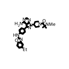 CCc1ccc2oc(Nc3ccc(-c4nn(C5CCN(C(=O)C(C)(C)NC)CC5)c5ncnc(N)c45)cc3)nc2c1